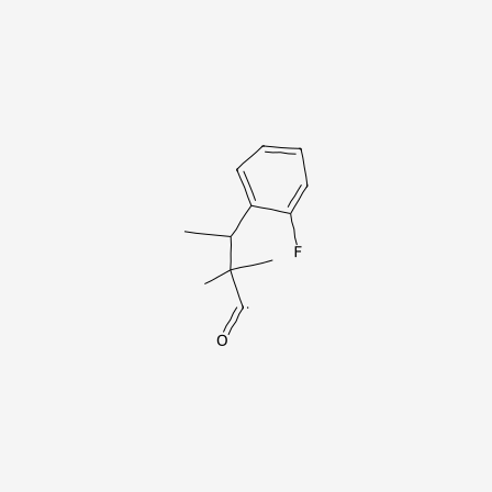 CC(c1ccccc1F)C(C)(C)[C]=O